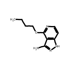 CCCCOc1nccc2[nH]nc(N)c12